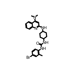 Cc1cc(Br)ccc1NC(=O)NC1CCC(Nc2cc(N(C)C)c3ccccc3n2)CC1